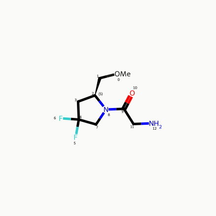 COC[C@@H]1CC(F)(F)CN1C(=O)CN